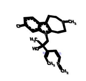 C=N/C=C\C(=C/C)C(C)(O)Cn1c2c(c3ccc(Cl)cc31)CCN(C)CC2